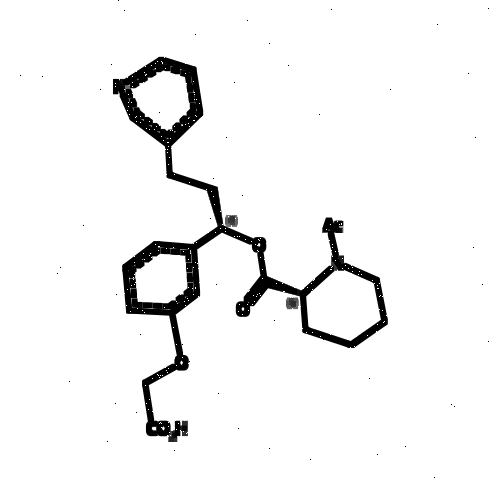 CC(=O)N1CCCC[C@H]1C(=O)O[C@H](CCc1cccnc1)c1cccc(OCC(=O)O)c1